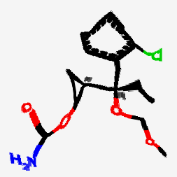 CC[C@](OCOC)(c1ccccc1Cl)[C@@H]1CC1OC(N)=O